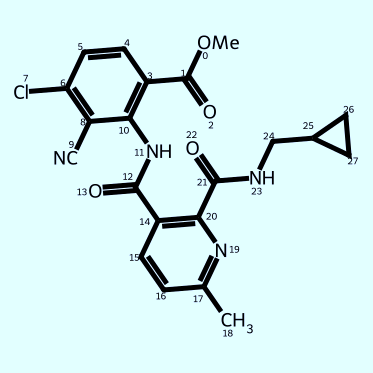 COC(=O)c1ccc(Cl)c(C#N)c1NC(=O)c1ccc(C)nc1C(=O)NCC1CC1